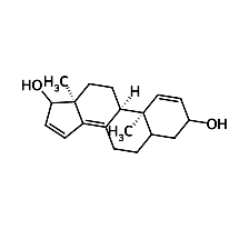 C[C@]12CC[C@@H]3C(=C1C=CC2O)CCC1CC(O)C=C[C@@]13C